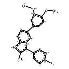 COc1ccc(-c2ccc3nc(C)c(-c4ccc(F)nc4)n3n2)cc1OC